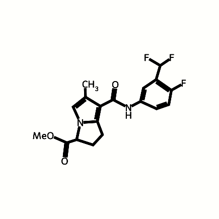 COC(=O)C1CCc2c(C(=O)Nc3ccc(F)c(C(F)F)c3)c(C)cn21